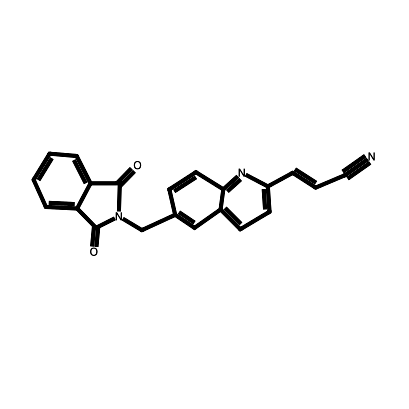 N#CC=Cc1ccc2cc(CN3C(=O)c4ccccc4C3=O)ccc2n1